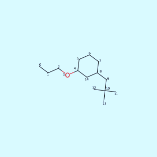 CCCOC1CCCC(CC(C)(C)C)C1